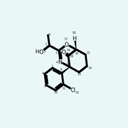 CC(O)C1=N[C@@]2(c3ccccc3Cl)CCC[C@@H](O1)C2=O